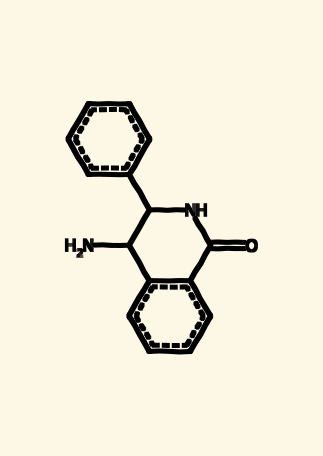 NC1c2ccccc2C(=O)NC1c1ccccc1